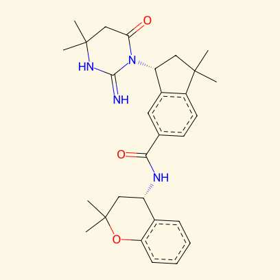 CC1(C)CC(=O)N([C@@H]2CC(C)(C)c3ccc(C(=O)N[C@H]4CC(C)(C)Oc5ccccc54)cc32)C(=N)N1